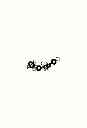 O=c1c2sc(-c3ccc(Cl)cc3)cc2ncn1-c1ccc(O[C@H]2C[C@H]3CC[C@@H](C2)N3)cc1